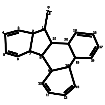 [Zr][CH]1C2C=CC=CC2C2C3C=CC=CC3C3C=CC=CC3C12